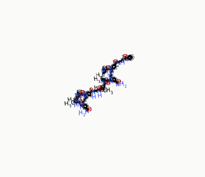 CCn1nc(C)cc1C(=O)Nc1nc2cc(C(N)=O)ccc2n1C/C=C/Cn1c(NC(=O)c2cc(C)nn2CC)nc2cc(C(=O)NCCCNC(=O)OC(C)(C)CCCn3nc(C)cc3C(=O)Nc3nc4cc(C(N)=O)ccc4n3C/C=C/Cn3c(NC(=O)c4cc(C)nn4CC)nc4cc(C(=O)NCCCNC(=O)c5ccccc5)ccc43)ccc21